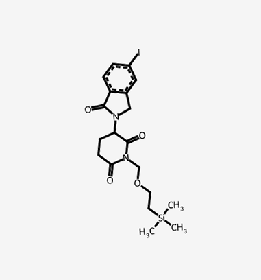 C[Si](C)(C)CCOCN1C(=O)CCC(N2Cc3cc(I)ccc3C2=O)C1=O